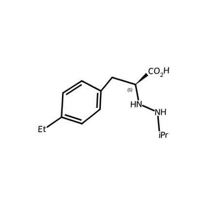 CCc1ccc(C[C@H](NNC(C)C)C(=O)O)cc1